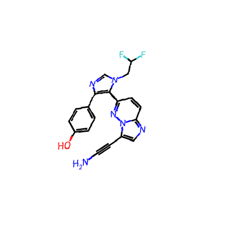 NC#Cc1cnc2ccc(-c3c(-c4ccc(O)cc4)ncn3CC(F)F)nn12